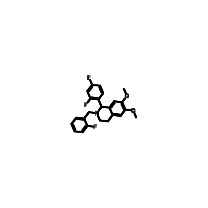 COc1cc2c(cc1OC)C(c1ccc(F)cc1F)N(Cc1ccccc1F)CC2